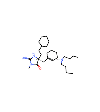 CCCCN(CCCC)[C@@H]1C=C(C[C@@]2(CCC3CCCCC3)NC(=N)N(C)C2=O)CCC1